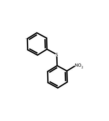 O=[N+]([O-])c1ccccc1Sc1cc[c]cc1